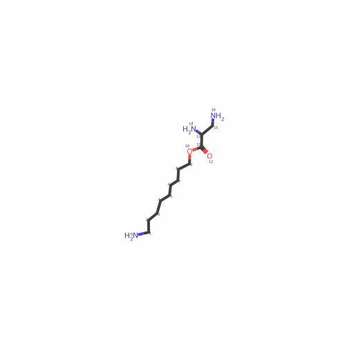 NCCCCCCCCCOC(=O)C(N)CN